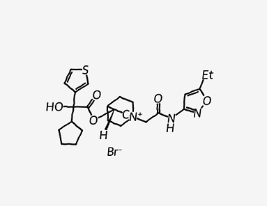 CCc1cc(NC(=O)C[N+]23CCC(CC2)[C@@H](OC(=O)C(O)(c2ccsc2)C2CCCC2)C3)no1.[Br-]